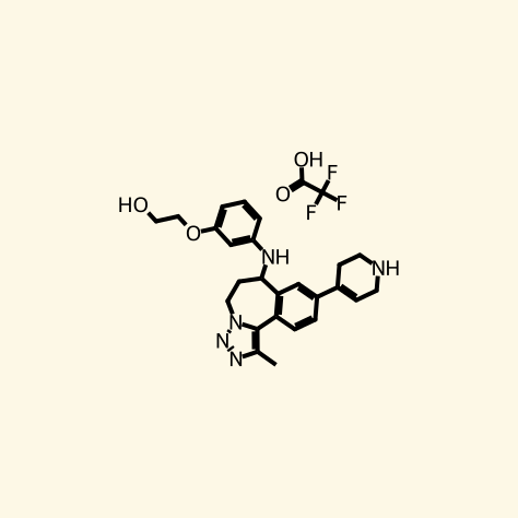 Cc1nnn2c1-c1ccc(C3=CCNCC3)cc1C(Nc1cccc(OCCO)c1)CC2.O=C(O)C(F)(F)F